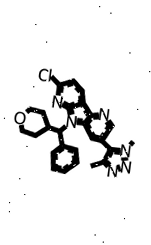 Cc1nnn(C)c1-c1cnc2c3ccc(Cl)nc3n(C(c3ccccc3)C3CCOCC3)c2c1